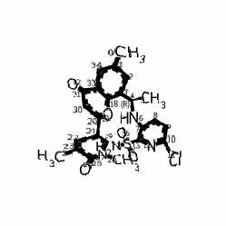 Cc1cc([C@@H](C)Nc2ccc(Cl)nc2S(N)(=O)=O)c2oc(-c3cc(C)c(=O)n(C)c3)cc(=O)c2c1